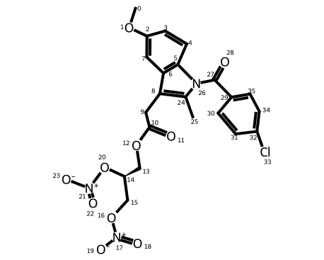 COc1ccc2c(c1)c(CC(=O)OC[C@@H](CO[N+](=O)[O-])O[N+](=O)[O-])c(C)n2C(=O)c1ccc(Cl)cc1